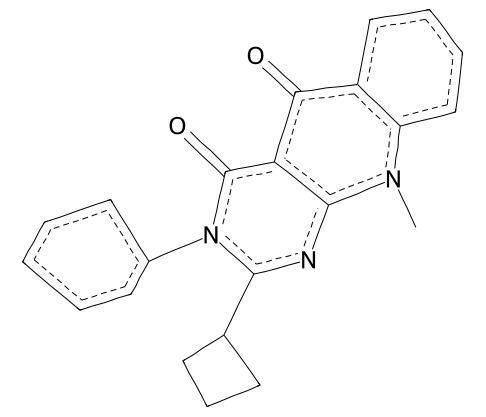 Cn1c2ccccc2c(=O)c2c(=O)n(-c3ccccc3)c(C3CCC3)nc21